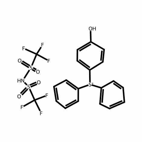 O=S(=O)(NS(=O)(=O)C(F)(F)F)C(F)(F)F.Oc1ccc([S+](c2ccccc2)c2ccccc2)cc1